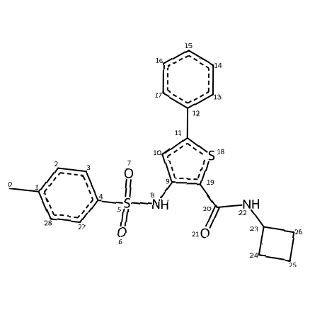 Cc1ccc(S(=O)(=O)Nc2cc(-c3ccccc3)sc2C(=O)NC2CCC2)cc1